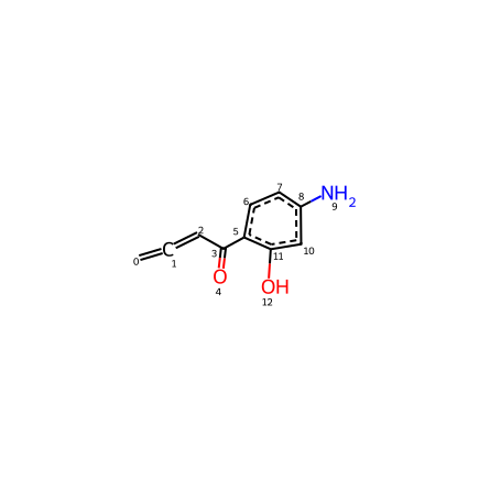 C=C=CC(=O)c1ccc(N)cc1O